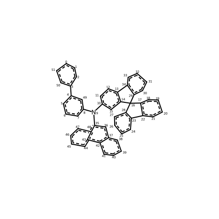 c1ccc(-c2cccc(N(c3ccc4c(c3)C3(c5ccccc5-c5ccccc53)c3ccccc3-4)c3cc4ccccc4c4ccccc34)c2)cc1